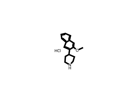 COc1cc2ccccc2cc1C1CCNCC1.Cl